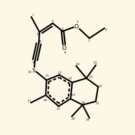 CCOC(=O)C=C(C)C#CSc1cc2c(cc1C)C(C)(C)CCC2(C)C